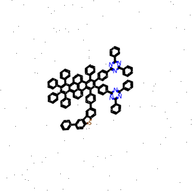 c1ccc(-c2ccc3sc4ccc(-c5ccc(-c6c(-c7ccc(-c8nc(-c9ccccc9)nc(-c9ccccc9)n8)cc7)c(-c7ccc(-c8nc(-c9ccccc9)nc(-c9ccccc9)n8)cc7)c(-c7ccccc7)c7c8cccc9c%10c(-c%11ccccc%11)c(-c%11ccccc%11)c(-c%11ccccc%11)c(-c%11ccccc%11)c%10c%10cccc(c67)c%10c98)cc5)cc4c3c2)cc1